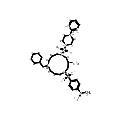 C[C@H]1CN(S(=O)(=O)c2ccc(N(C)C)cc2)CCCN(CC2CCCCC2)CCCN(S(=O)(=O)N2CCN(c3ncccn3)CC2)C1